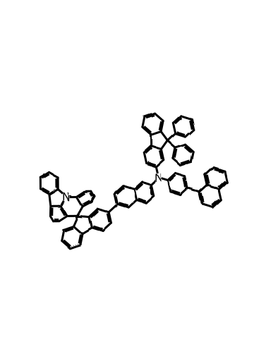 c1ccc(C2(c3ccccc3)c3ccccc3-c3ccc(N(c4ccc(-c5cccc6ccccc56)cc4)c4ccc5cc(-c6ccc7c(c6)C6(c8ccccc8-7)c7ccccc7-n7c8ccccc8c8cccc6c87)ccc5c4)cc32)cc1